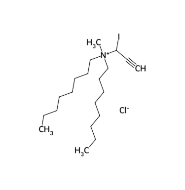 C#CC(I)[N+](C)(CCCCCCCC)CCCCCCCC.[Cl-]